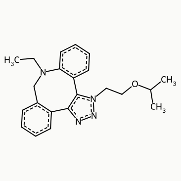 CCN1Cc2ccccc2-c2nnn(CCOC(C)C)c2-c2ccccc21